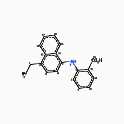 CC(C)Cc1ccc(Nc2ccccc2C(=O)O)c2ccccc12